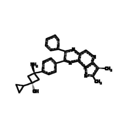 Cc1nn2c(ncc3nc(-c4ccccc4)c(-c4ccc([C@]5(N)C[C@@](O)(C6CC6)C5)cc4)nc32)c1C